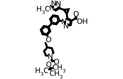 Cn1cc(C2CC2c2c(C(=O)O)cnn2-c2cccc(-c3cccc(OCC4CCN(C(=O)OC(C)(C)C)CC4)c3)c2)nn1